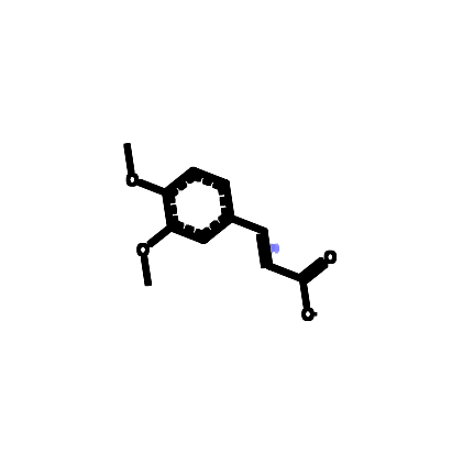 COc1ccc(/C=C/C([O])=O)cc1OC